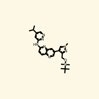 CC(C)c1cnnc(Nc2ccc3ncc(-c4cn(C)nc4CO[Si](C)(C)C(C)(C)C)cc3n2)c1